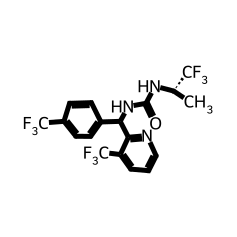 C[C@H](NC(=O)NC(c1ccc(C(F)(F)F)cc1)c1ncccc1C(F)(F)F)C(F)(F)F